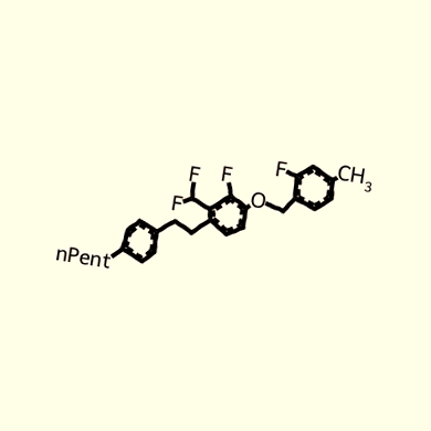 CCCCCc1ccc(CCc2ccc(OCc3ccc(C)cc3F)c(F)c2C(F)F)cc1